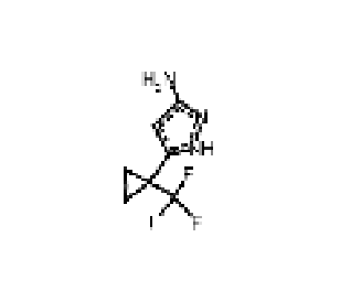 Nc1cc(C2(C(F)(F)F)CC2)[nH]n1